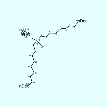 CCCCCCCCCCCCCCCCCC[N+](C)(C)CCCCCCCCCCCCCCCCCC.O.O.[Al+3]